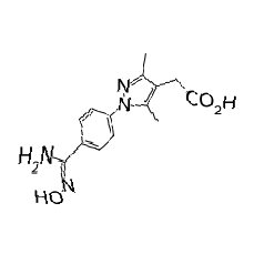 Cc1nn(-c2ccc(C(N)=NO)cc2)c(C)c1CC(=O)O